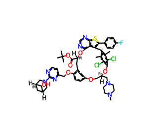 Cc1c(Cl)c2c(Cl)c(C)c1-c1c(-c3ccc(F)cc3)sc3ncnc(c13)O[C@@H](C(=O)OC(C)(C)C)Cc1cc(ccc1OCc1ccnc(N3C[C@H]4C[C@@H](C3)C4O)n1)OC[C@@H](CN1CCN(C)CC1)O2